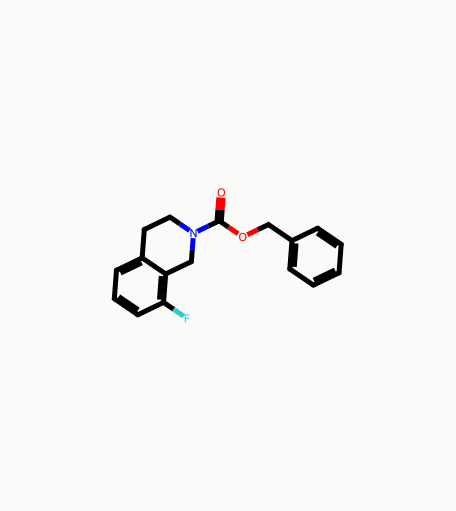 O=C(OCc1ccccc1)N1CCc2cccc(F)c2C1